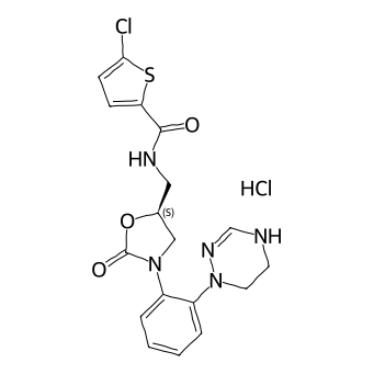 Cl.O=C(NC[C@H]1CN(c2ccccc2N2CCNC=N2)C(=O)O1)c1ccc(Cl)s1